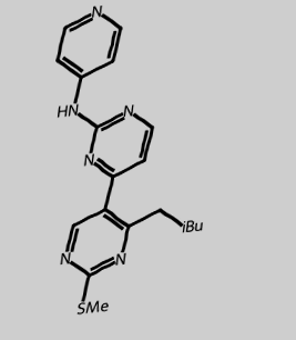 CCC(C)Cc1nc(SC)ncc1-c1ccnc(Nc2ccncc2)n1